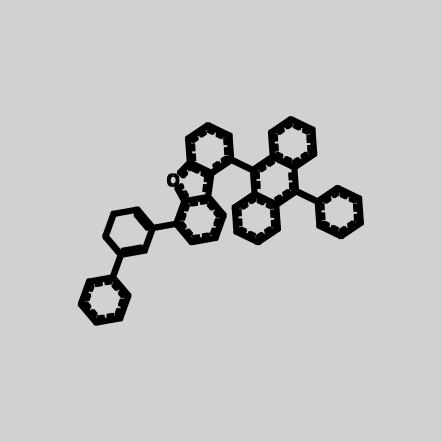 C1=C(c2ccccc2)CCC=C1c1cccc2c1oc1cccc(-c3c4ccccc4c(-c4ccccc4)c4ccccc34)c12